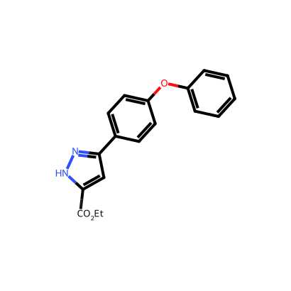 CCOC(=O)c1cc(-c2ccc(Oc3ccccc3)cc2)n[nH]1